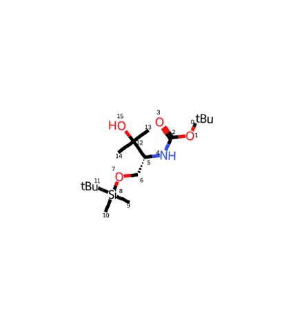 CC(C)(C)OC(=O)N[C@H](CO[Si](C)(C)C(C)(C)C)C(C)(C)O